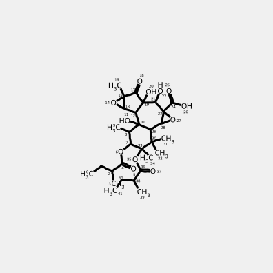 CCC(C)C(=O)OC1C(C)C2(O)C3C4OC4(C)C(=O)C3(O)C(O)C3(C(=O)O)OC3C2C(C)(C)C1(C)OC(=O)C(C)CC